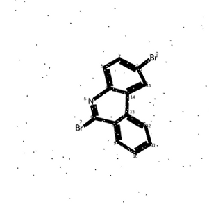 Brc1ccc2nc(Br)c3ccccc3c2c1